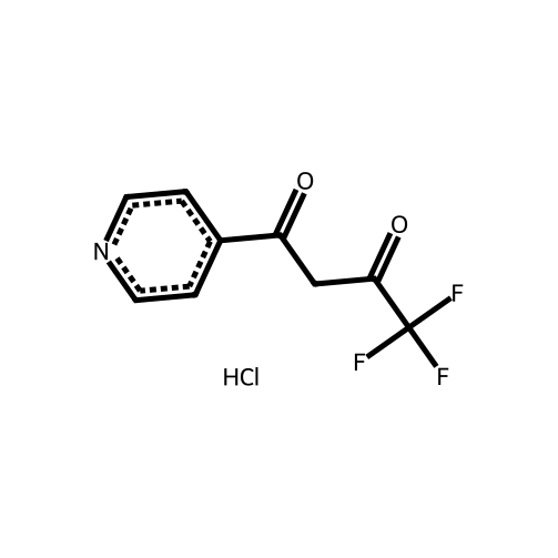 Cl.O=C(CC(=O)C(F)(F)F)c1ccncc1